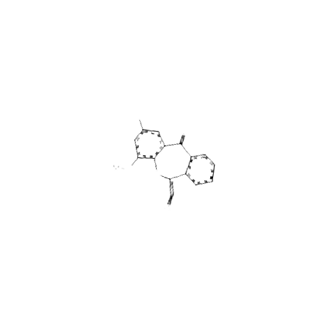 COc1cc(C)cc2c1OC(=C=O)c1ccccc1C2=O